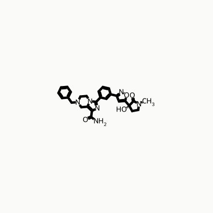 CN1CC[C@@](O)(c2cc(-c3cccc(-c4nc(C(N)=O)c5n4CCN(Cc4ccccc4)C5)c3)no2)C1=O